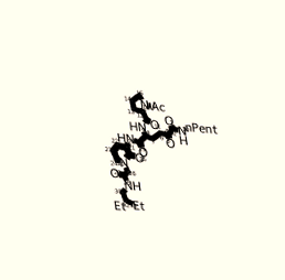 CCCCCNC(=O)C(=O)CCC(NC(=O)C1CCCN1C(C)=O)C(=O)Nc1cccn(CC(=O)NCC(CC)CC)c1=O